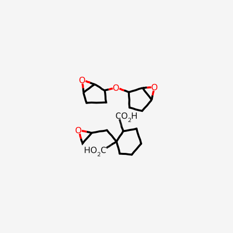 C1CC2OC2C1OC1CCC2OC12.O=C(O)C1CCCCC1(CC1CO1)C(=O)O